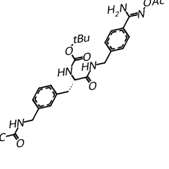 CC(=O)O/N=C(\N)c1ccc(CNC(=O)[C@H](Cc2cccc(CNC(=O)C(F)(F)F)c2)NC(=O)OC(C)(C)C)cc1